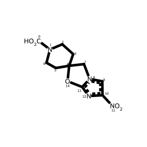 O=C(O)N1CCC2(CC1)Cn1cc([N+](=O)[O-])nc1O2